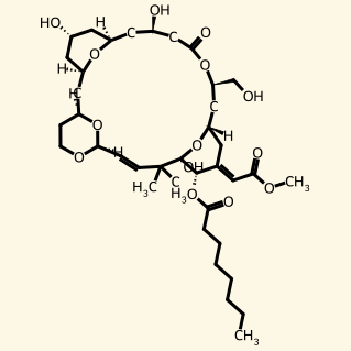 CCCCCCCC(=O)O[C@H]1/C(=C/C(=O)OC)C[C@H]2C[C@H](CO)OC(=O)C[C@H](O)C[C@@H]3C[C@@H](O)C[C@H](C[C@@H]4CCO[C@H](/C=C/C(C)(C)[C@]1(O)O2)O4)O3